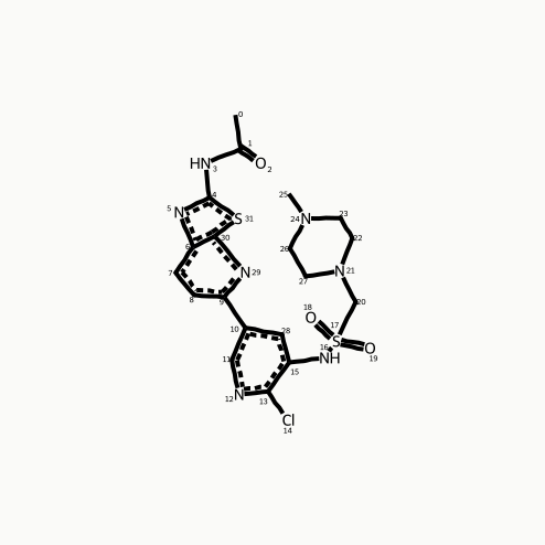 CC(=O)Nc1nc2ccc(-c3cnc(Cl)c(NS(=O)(=O)CN4CCN(C)CC4)c3)nc2s1